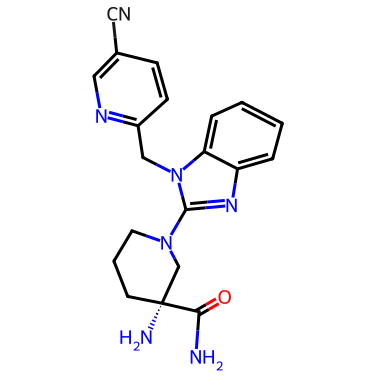 N#Cc1ccc(Cn2c(N3CCC[C@](N)(C(N)=O)C3)nc3ccccc32)nc1